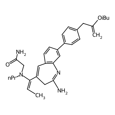 C=C(Cc1ccc(-c2ccc3c(c2)N=C(N)CC(/C(=C\C)N(CCC)CC(N)=O)=C3)cc1)OCC(C)C